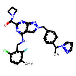 COc1ccc(Cl)c(CNc2nc(C(=O)N3CCC3)nc3nn(Cc4ccc(C(C)n5cccn5)cc4)cc23)c1F